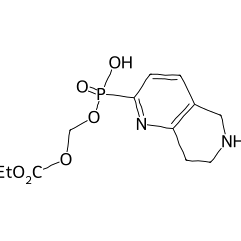 CCOC(=O)OCOP(=O)(O)c1ccc2c(n1)CCNC2